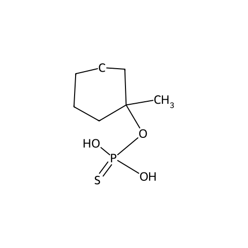 CC1(OP(O)(O)=S)CCCCC1